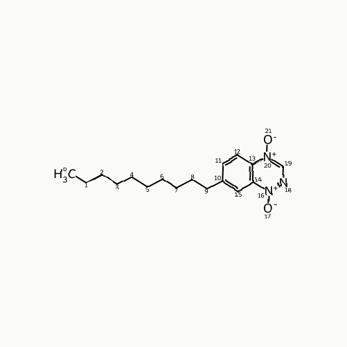 CCCCCCCCCCc1ccc2c(c1)[n+]([O-])nc[n+]2[O-]